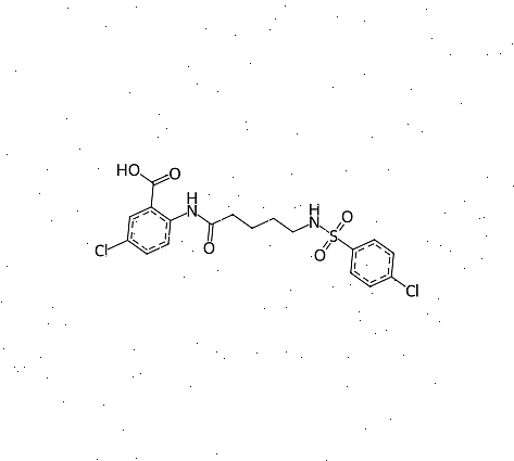 O=C(CCCCNS(=O)(=O)c1ccc(Cl)cc1)Nc1ccc(Cl)cc1C(=O)O